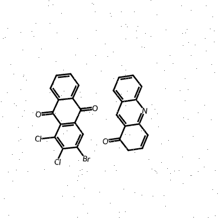 O=C1CC=Cc2nc3ccccc3cc21.O=C1c2ccccc2C(=O)c2c1cc(Br)c(Cl)c2Cl